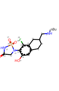 CCCCNCC1CCc2cc(O)c(N3CC(=O)NS3(=O)=O)c(F)c2C1